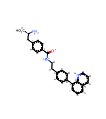 N[C@@H](Cc1ccc(C(=O)NCCc2ccc(-c3cccc4cccnc34)cc2)cc1)C(=O)O